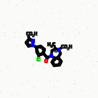 C[C@@H]1CN(C(=O)c2ccc(-n3ccc(C(=O)O)n3)cc2Cl)c2ccccc2CN1C(=O)O